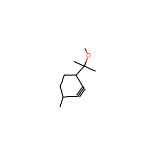 COC(C)(C)C1C#CC(C)CC1